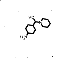 NC1CCC(C(O)N2CCCCC2)CC1